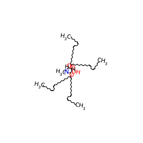 CCCCC/C=C\C/C=C\CCCCCCC/C=C(\CCCCCCCC/C=C\C/C=C\CCCCC)O[C@@H]1CN(C)C[C@H]2OC(CCCCCCCC/C=C\C/C=C\CCCCC)(CCCCCCCC/C=C\C/C=C\CCCCC)O[C@H]2[C@@H]1O